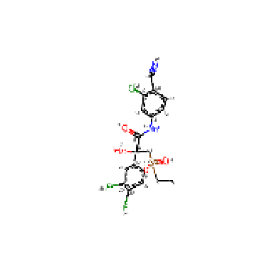 CCS(=O)(=O)CC(O)(C(=O)Nc1ccc(C#N)c(Cl)c1)c1ccc(F)c(F)c1